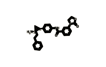 N[C@]1(CCc2ccccc2)C[C@H]1c1ccc(NC(=O)c2cccc(N3CCOC3=O)c2)cc1